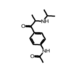 CC(=O)Nc1ccc(C(=O)C(C)NC(C)C)cc1